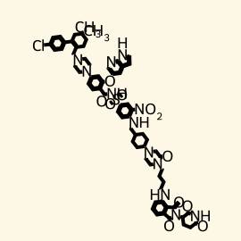 CC1(C)CCC(CN2CCN(c3ccc(C(=O)NS(=O)(=O)c4ccc(NCC5CCC(N6CCN(CCCCNc7cccc8c7C(=O)N(C7CCC(=O)NC7=O)C8=O)C(=O)C6)CC5)c([N+](=O)[O-])c4)c(Oc4cnc5[nH]ccc5c4)c3)CC2)=C(c2ccc(Cl)cc2)C1